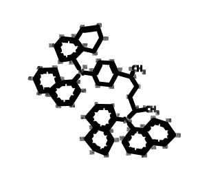 CC(CCC(C)N(c1cccc2ccccc12)c1cccc2ccccc12)C1=CC=C(N(c2cccc3c2CCC=C3)c2cccc3ccccc23)CC1